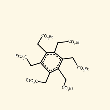 CCOC(=O)Cc1c(CC(=O)OCC)c(CC(=O)OCC)c(CC(=O)OCC)c(CC(=O)OCC)c1CC(=O)OCC